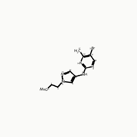 COCCn1cc(Nc2ncc(Br)c(C)n2)cn1